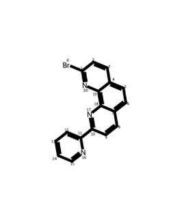 Brc1ccc2ccc3ccc(-c4ccccn4)nc3c2n1